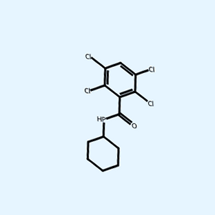 O=C(PC1CCCCC1)c1c(Cl)c(Cl)cc(Cl)c1Cl